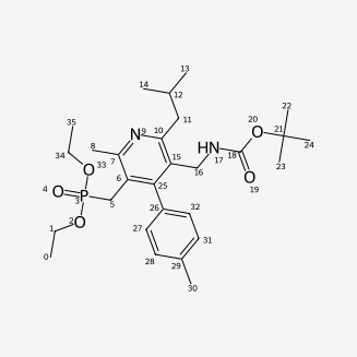 CCOP(=O)(Cc1c(C)nc(CC(C)C)c(CNC(=O)OC(C)(C)C)c1-c1ccc(C)cc1)OCC